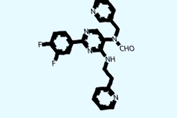 O=CN(Cc1cccnc1)c1cnc(-c2ccc(F)c(F)c2)nc1NCCc1ccccn1